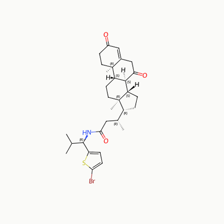 CC(C)[C@@H](NC(=O)C[C@@H](C)[C@H]1CC[C@H]2[C@@H]3C(=O)CC4=CC(=O)CC[C@]4(C)[C@H]3CC[C@]12C)c1ccc(Br)s1